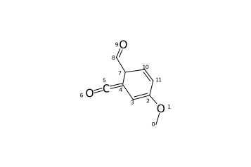 COC1=CC(=C=O)C(C=O)C=C1